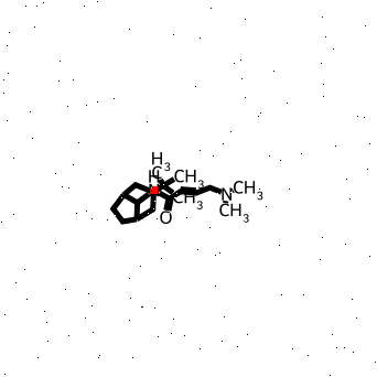 CN(C)C/C=C/C(=O)NC1C2CCC1CC(C(C)(C)C)C2